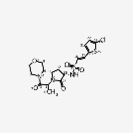 CC(C(=O)N1CCOCC1)N1CC[C@H](NS(=O)(=O)/C=C/c2ccc(Cl)s2)C1=O